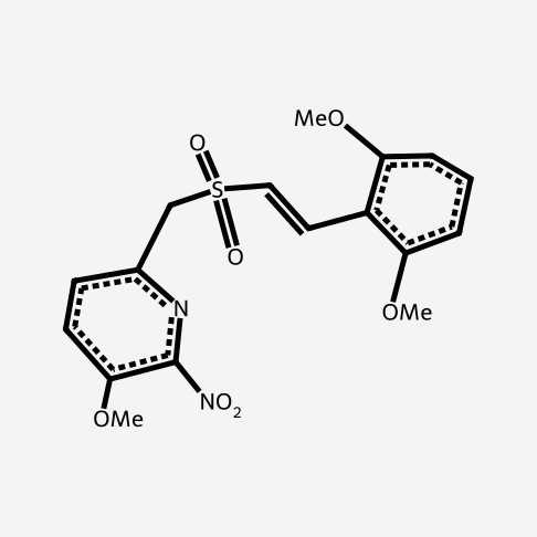 COc1ccc(CS(=O)(=O)C=Cc2c(OC)cccc2OC)nc1[N+](=O)[O-]